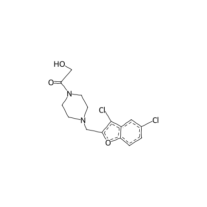 O=C(CO)N1CCN(Cc2oc3ccc(Cl)cc3c2Cl)CC1